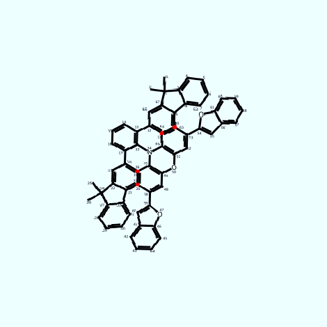 CC1(C)c2ccccc2-c2ccc(-c3cccc(-c4ccc5c(c4)C(C)(C)c4ccccc4-5)c3N3c4ccc(-c5cc6ccccc6o5)cc4Oc4cc(-c5cc6ccccc6o5)ccc43)cc21